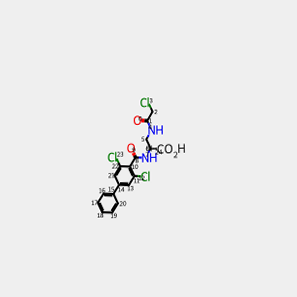 O=C(CCl)NC[C@H](NC(=O)c1c(Cl)cc(-c2ccccc2)cc1Cl)C(=O)O